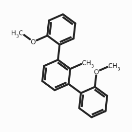 COc1ccccc1-c1cccc(-c2ccccc2OC)c1C